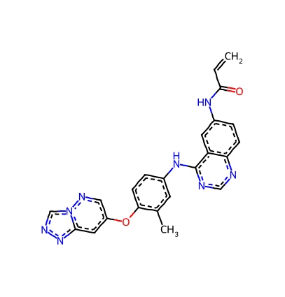 C=CC(=O)Nc1ccc2ncnc(Nc3ccc(Oc4cnn5cnnc5c4)c(C)c3)c2c1